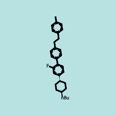 CCCC[C@H]1CC[C@H](c2ccc(-c3ccc(CCc4ccc(C)cc4)cc3)c(F)c2)CC1